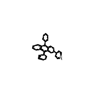 c1ccc(-c2c3ccccc3c(-c3ccccc3)c3cc(-c4ccncc4)ccc23)cc1